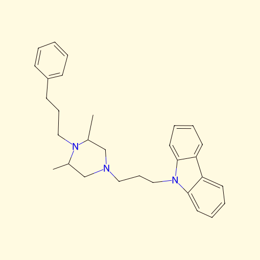 CC1CN(CCCn2c3ccccc3c3ccccc32)CC(C)N1CCCc1ccccc1